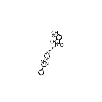 COc1cccc2c1C(=O)N(CCCCN1CCN(c3ncc(-c4ccccc4)cn3)CC1)C2=O